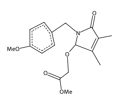 COC(=O)COC1C(C)=C(C)C(=O)N1Cc1ccc(OC)cc1